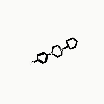 Cc1ccc(N2CCN(C3CCCCC3)CC2)cc1